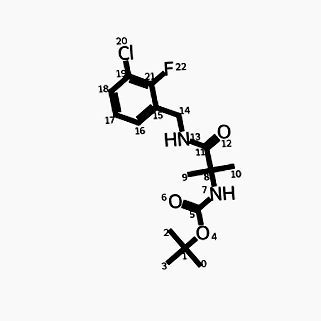 CC(C)(C)OC(=O)NC(C)(C)C(=O)NCc1cccc(Cl)c1F